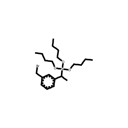 CCCCO[Si](OCCCC)(OCCCC)C(C)c1cccc(CBr)c1